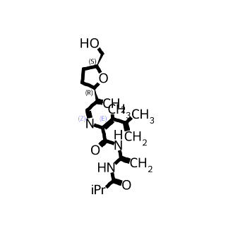 C=C(NC(=O)C(/N=C\C(=C)[C@H]1CC[C@@H](CO)O1)=C(/C)C(=C)C)NC(=O)C(C)C